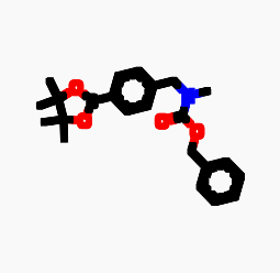 CN(Cc1ccc(B2OC(C)(C)C(C)(C)O2)cc1)C(=O)OCc1ccccc1